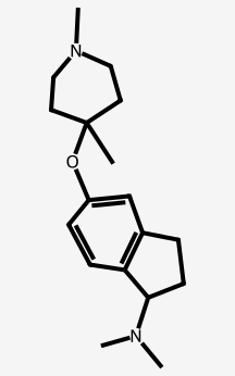 CN1CCC(C)(Oc2ccc3c(c2)CCC3N(C)C)CC1